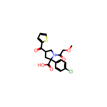 COCC(=O)N1CC(C(=O)c2cccs2)CC1(C(=O)O)c1ccc(Cl)cc1